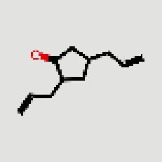 C=CCC1CC(=O)C(CC=C)C1